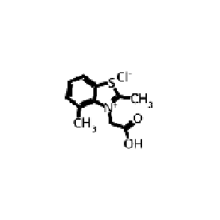 Cc1cccc2sc(C)[n+](CC(=O)O)c12.[Cl-]